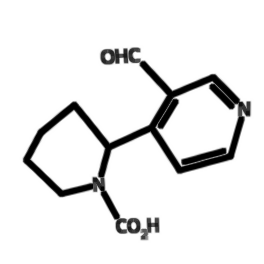 O=Cc1cnccc1C1CCCCN1C(=O)O